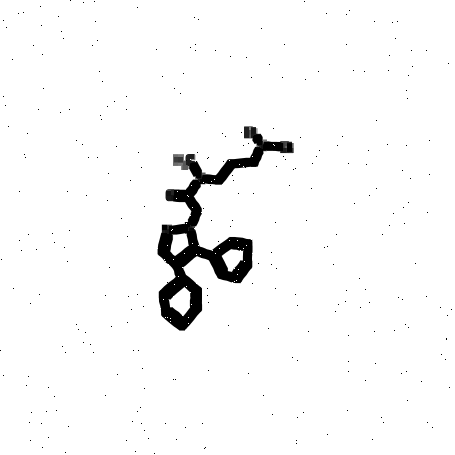 CCN(CC)CCCN(C)C(=O)Cn1ncc(-c2ccccc2)c1-c1ccccc1